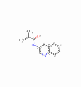 C=C(C)C(=O)Nc1cnc2ccccc2c1